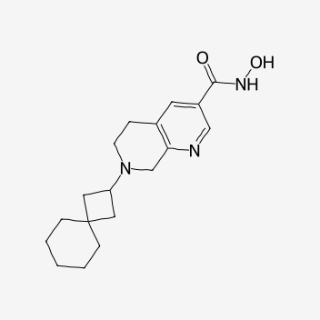 O=C(NO)c1cnc2c(c1)CCN(C1CC3(CCCCC3)C1)C2